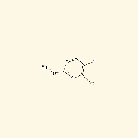 [CH2]Cc1cc(OC(F)(F)F)ccc1F